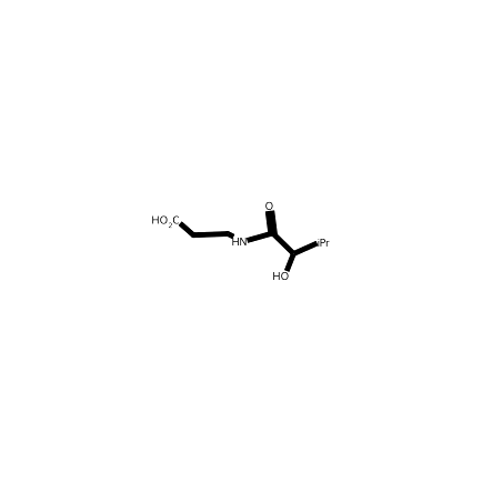 CC(C)C(O)C(=O)NCCC(=O)O